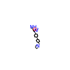 NCc1cc(-c2ccc(-c3ccc(CN4CCCC4)cc3)cc2)no1